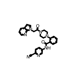 N#Cc1ccc(NC(=O)c2ccccc2N2CCN(C(=O)Cn3ccc4cccnc43)CC2)cn1